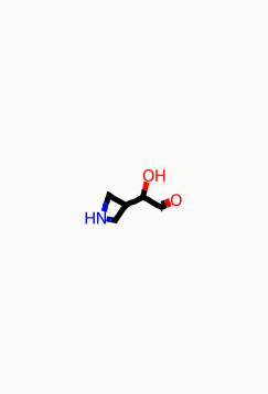 O=[C]C(O)C1CNC1